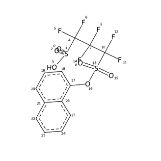 O=S(=O)(O)C(F)(F)C(F)(F)C(F)(F)S(=O)(=O)Oc1cccc2ccccc12